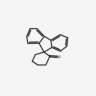 O=C1CCCCC12c1ccccc1-c1ccccc12